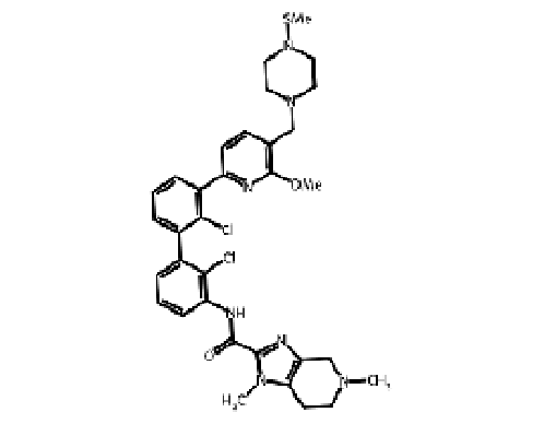 COc1nc(-c2cccc(-c3cccc(NC(=O)c4nc5c(n4C)CCN(C)C5)c3Cl)c2Cl)ccc1CN1CCN(SC)CC1